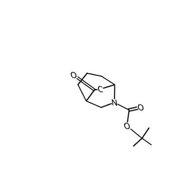 CC(C)(C)OC(=O)N1CC2CCCC1CC2=O